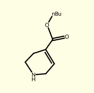 CCCCOC(=O)C1=CCNCC1